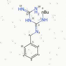 CCCCNC(=NCc1ccccc1)NC(=N)N